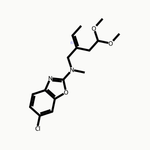 C/C=C(\CC(OC)OC)CN(C)c1nc2ccc(Cl)cc2o1